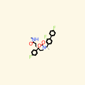 CNC(=O)CC[C@@]1(c2ccc(F)cc2)CCN([C@@H](C)c2ccc(-c3ccc(F)cc3)c(F)c2)C(=O)O1